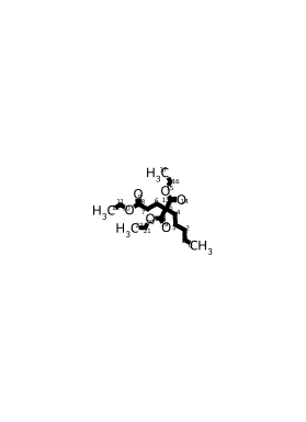 CCCCCC(CCC(=O)OCC)(C(=O)OCC)C(=O)OCC